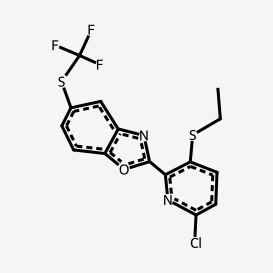 CCSc1ccc(Cl)nc1-c1nc2cc(SC(F)(F)F)ccc2o1